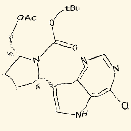 CC(=O)OC[C@H]1[CH][CH][C@@H](c2c[nH]c3c(Cl)ncnc23)N1C(=O)OC(C)(C)C